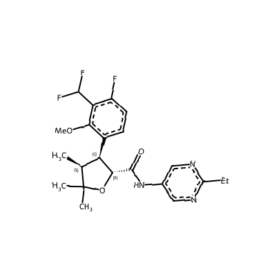 CCc1ncc(NC(=O)[C@@H]2OC(C)(C)[C@@H](C)[C@H]2c2ccc(F)c(C(F)F)c2OC)cn1